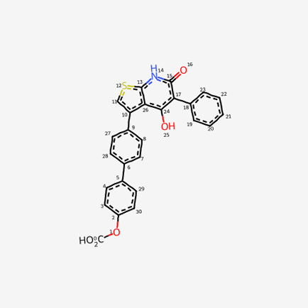 O=C(O)Oc1ccc(-c2ccc(-c3csc4[nH]c(=O)c(-c5ccccc5)c(O)c34)cc2)cc1